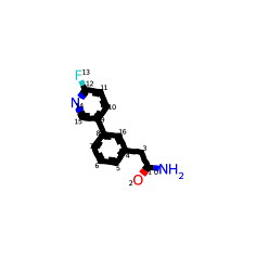 NC(=O)Cc1cccc(-c2ccc(F)nc2)c1